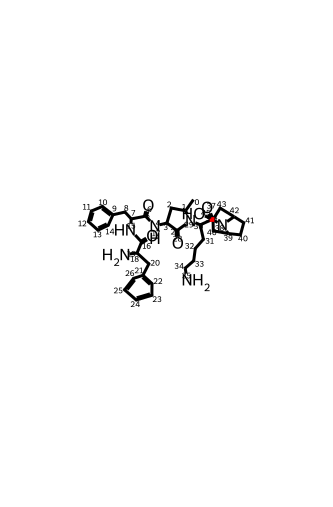 CC1CC(NC(=O)C(Cc2ccccc2)NC(=O)C(N)Cc2ccccc2)C(=O)N1C(CCCCN)C(=O)N1C2CCC1CC(O)C2